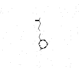 C=C(CCOCc1cccc(OC)c1)C(=O)O